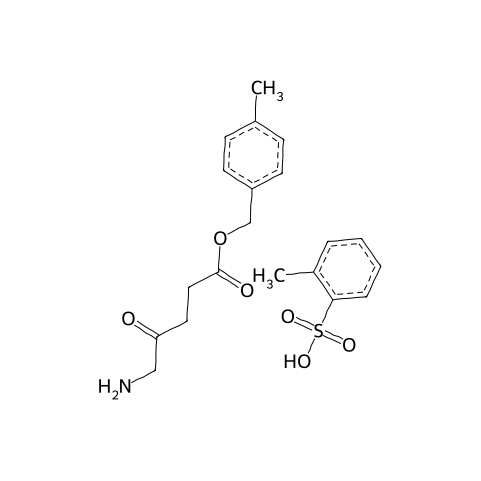 Cc1ccc(COC(=O)CCC(=O)CN)cc1.Cc1ccccc1S(=O)(=O)O